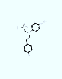 O=P(O)(O)CN(CCc1ccc(Cl)cc1)c1ccc(O)cc1